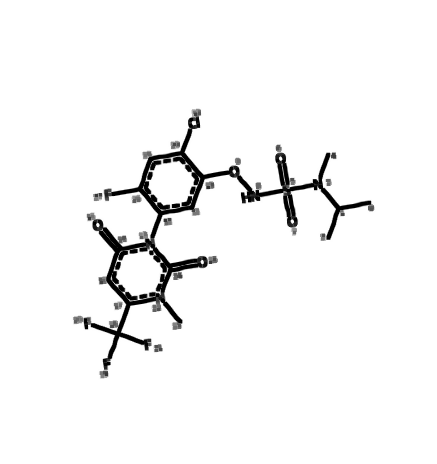 CC(C)N(C)S(=O)(=O)NOc1cc(-n2c(=O)cc(C(F)(F)F)n(C)c2=O)c(F)cc1Cl